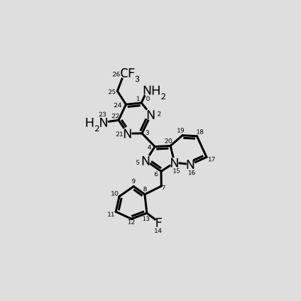 Nc1nc(-c2nc(Cc3ccccc3F)n3ncccc23)nc(N)c1CC(F)(F)F